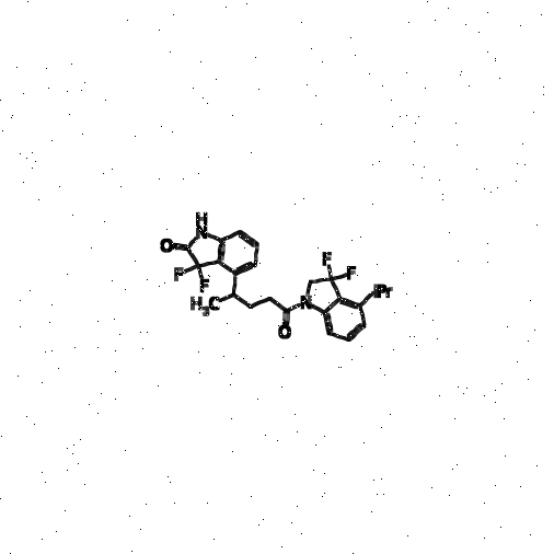 CC(C)c1cccc2c1C(F)(F)CN2C(=O)CCC(C)c1cccc2c1C(F)(F)C(=O)N2